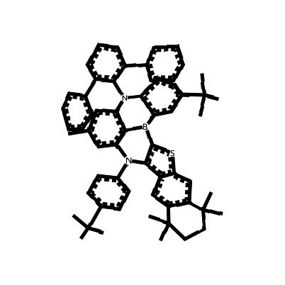 Cc1cc2c3c(c1)N(c1ccc(C(C)(C)C)cc1)c1c(sc4cc5c(cc14)C(C)(C)CCC5(C)C)B3c1cc(C(C)(C)C)ccc1N2c1c(-c2ccccc2)cccc1-c1ccccc1